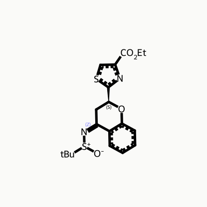 CCOC(=O)c1csc([C@@H]2C/C(=N/[S+]([O-])C(C)(C)C)c3ccccc3O2)n1